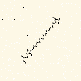 CCC(C)OCC(=O)NCCOCCOCCOCCOCCNC(=O)S